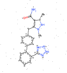 CCCN1NC(C(C)C)C(C(N)=O)=C1Cc1ccc(-c2ccccc2-c2nn[nH]n2)cc1